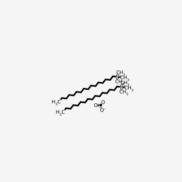 CCCCCCCCCCCCCCCC[N+](C)(C)C.CCCCCCCCCCCCCCCC[N+](C)(C)C.O=S([O-])[O-]